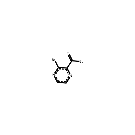 CCC(=O)c1nccnc1Br